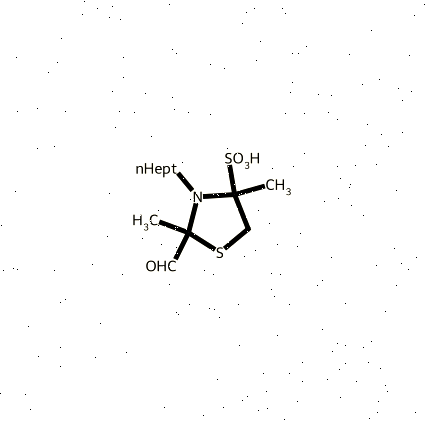 CCCCCCCN1C(C)(C=O)SCC1(C)S(=O)(=O)O